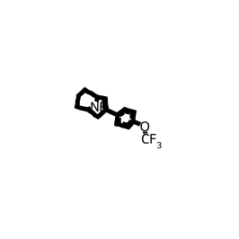 FC(F)(F)Oc1ccc(C2=CC3CCCC(C2)N3)cc1